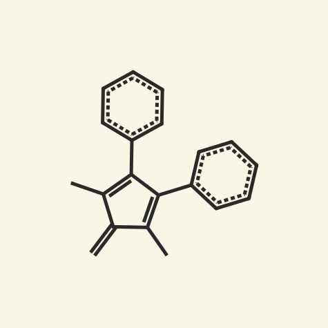 C=C1C(C)=C(c2ccccc2)C(c2ccccc2)=C1C